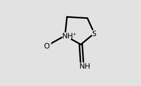 N=C1SCC[NH+]1[O-]